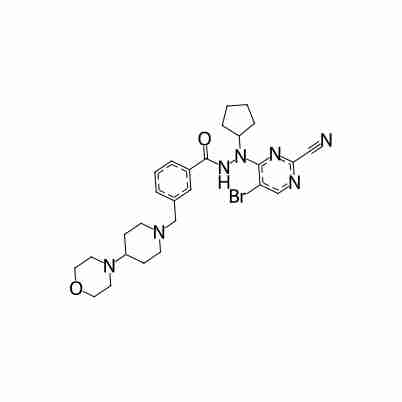 N#Cc1ncc(Br)c(N(NC(=O)c2cccc(CN3CCC(N4CCOCC4)CC3)c2)C2CCCC2)n1